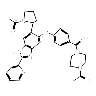 CC(=O)N1CCN(C(=O)c2ccc(Oc3cc4nc(-c5ccccn5)[nH]c4cc3C3CCCN3C(C)=O)cc2)CC1